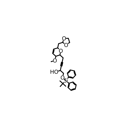 COC1C=CC(CC2OCCO2)OC1CC#CC(O)CO[Si](c1ccccc1)(c1ccccc1)C(C)(C)C